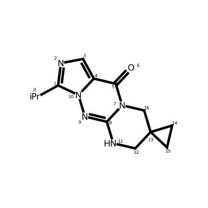 CC(C)c1ncc2c(=O)n3c(nn12)NCC1(CC1)C3